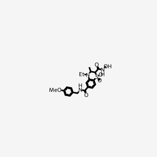 CCN1c2cc(C(=O)NCc3ccc(OC)cc3)ccc2S(=O)(=O)C(C(=O)NO)C1C